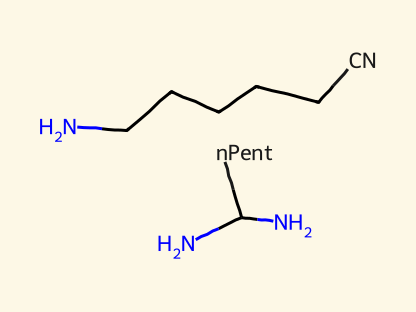 CCCCCC(N)N.N#CCCCCCN